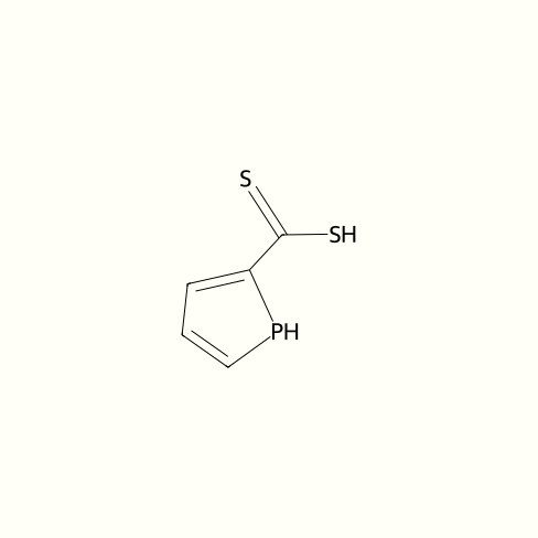 S=C(S)c1ccc[pH]1